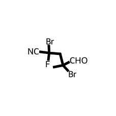 CC(Br)(C=O)CC(F)(Br)C#N